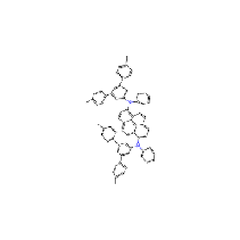 Cc1ccc(-c2cc(-c3ccc(C)cc3)cc(N(c3ccccc3)c3ccc4ccc5c(N(c6ccccc6)c6cc(-c7ccc(C)cc7)cc(-c7ccc(C)cc7)c6)ccc6ccc3c4c65)c2)cc1